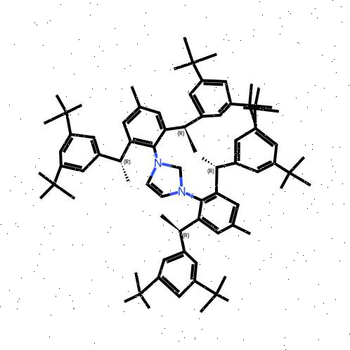 Cc1cc([C@H](C)c2cc(C(C)(C)C)cc(C(C)(C)C)c2)c(N2C=CN(c3c([C@H](C)c4cc(C(C)(C)C)cc(C(C)(C)C)c4)cc(C)cc3[C@H](C)c3cc(C(C)(C)C)cc(C(C)(C)C)c3)C2)c([C@H](C)c2cc(C(C)(C)C)cc(C(C)(C)C)c2)c1